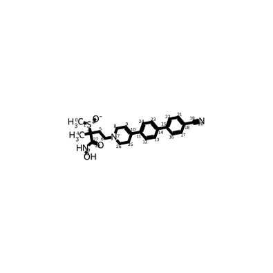 C[S+]([O-])C(C)(CCN1CC=C(c2ccc(-c3ccc(C#N)cc3)cc2)CC1)C(=O)NO